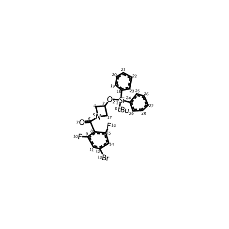 CC(C)(C)[Si](OC1CN(C(=O)c2c(F)cc(Br)cc2F)C1)(c1ccccc1)c1ccccc1